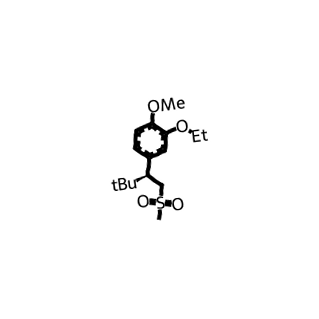 CCOc1cc([C@@H](CS(C)(=O)=O)C(C)(C)C)ccc1OC